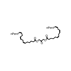 CCCCC/C=C\C/C=C\C/C=C\CCCCC(=O)OCC(=O)COC(=O)CCCC/C=C\C/C=C\C/C=C\CCCCC